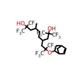 CC(CCC(CC(O)(C(F)(F)F)C(F)(F)F)CC(OC1CC2C=CC1C2)(C(F)(F)F)C(F)(F)F)CC(O)(C(F)(F)F)C(F)(F)F